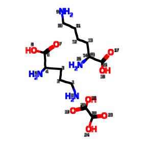 NCCCC(N)C(=O)O.NCCCC[C@H](N)C(=O)O.O=C(O)C(=O)O